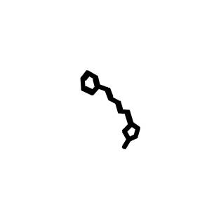 CC1CCC(=CC=CC=Cc2ccccc2)C1